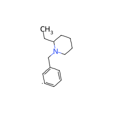 CCC1CCCCN1Cc1c[c]ccc1